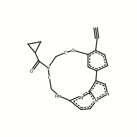 C#Cc1ccc2cc1OCCN(C(=O)C1CC1)CCNc1ccn3ncc-2c3n1